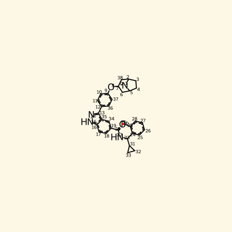 CN1C2CCC1CC(Oc1ccc(-c3n[nH]c4ccc(C(=O)NC(c5ccccc5F)C5CC5)cc34)cc1)C2